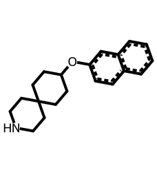 c1ccc2cc(OC3CCC4(CCNCC4)CC3)ccc2c1